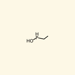 CCPO